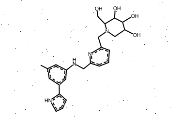 Cc1cc(NCc2cccc(CN3CC(O)C(O)C(O)C3CO)n2)cc(-c2ccc[nH]2)c1